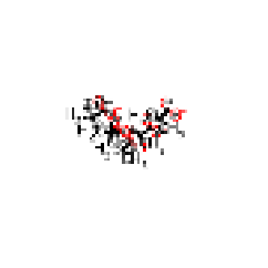 C=C(C)C(=O)[O-].C=C(C)C(=O)[O-].C=C(C)C(=O)[O-].C=C(C)C(=O)[O-].C=C(C)C(=O)[O-].[Ta+5]